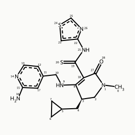 CN1C[C@@H](CC2CC2)C(NCc2ccnc(N)c2)=C(C(=S)Nc2cscn2)C1=O